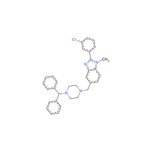 Cn1c(-c2cccc(Cl)c2)nc2cc(CN3CCN(C(c4ccccc4)c4ccccc4)CC3)ccc21